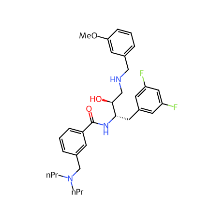 CCCN(CCC)Cc1cccc(C(=O)N[C@@H](Cc2cc(F)cc(F)c2)[C@@H](O)CNCc2cccc(OC)c2)c1